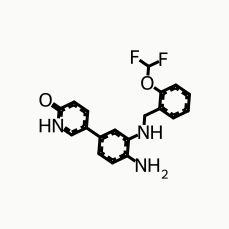 Nc1ccc(-c2ccc(=O)[nH]c2)cc1NCc1ccccc1OC(F)F